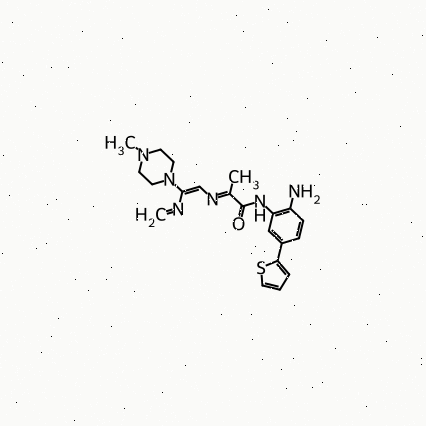 C=N/C(=C\N=C(/C)C(=O)Nc1cc(-c2cccs2)ccc1N)N1CCN(C)CC1